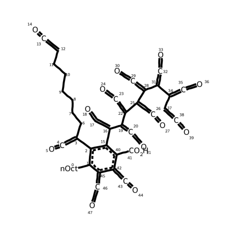 CCCCCCCCc1c(C(=C=O)CCCCCCC=C=O)c(C(=C=O)C(=C=O)C(=C=O)C(=C=O)C(=C=O)C(=C=O)C(=C=O)C=C=O)c(C(=O)O)c(=C=O)c1=C=O